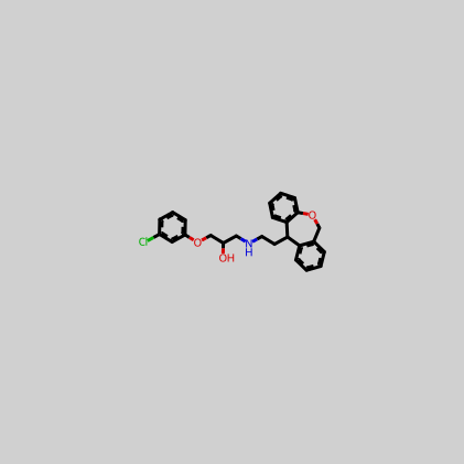 OC(CNCCC1c2ccccc2COc2ccccc21)COc1cccc(Cl)c1